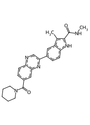 CNC(=O)c1[nH]c2ccc(-c3cnc4ccc(C(=O)N5CCCCC5)cc4n3)cc2c1C